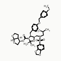 CSc1ccc(COc2ccc(C[C@H]3[C@@H](CN(CC(C)C)S(=O)(=O)c4ccc5c(c4)OCO5)OC(C)(C)N3C(=O)O[C@H]3CO[C@H]4OCC[C@H]43)cc2)cc1